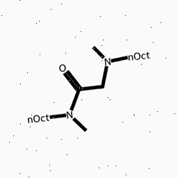 CCCCCCCCN(C)CC(=O)N(C)CCCCCCCC